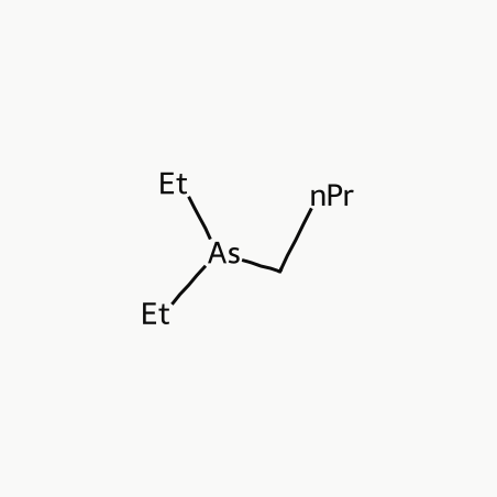 CCCC[As](CC)CC